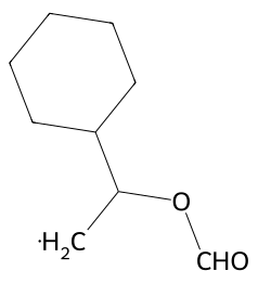 [CH2]C(OC=O)C1CCCCC1